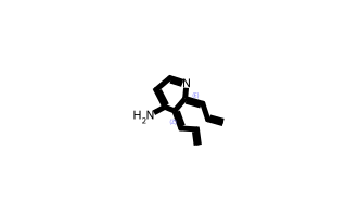 C=C/C=c1/c(N)ccn/c1=C/C=C